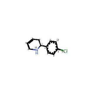 Clc1ccc(C2CC=CCN2)cc1